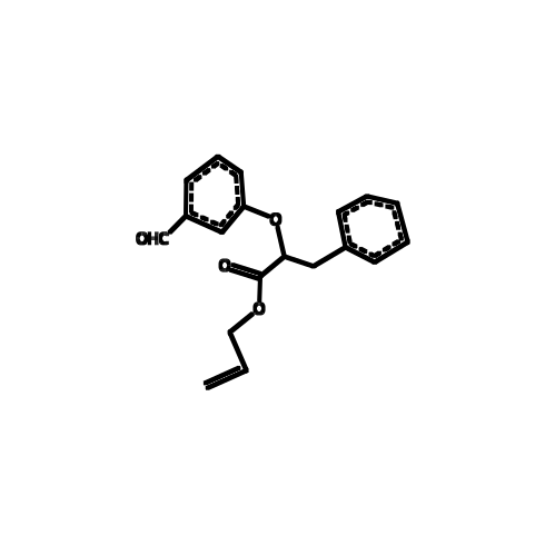 C=CCOC(=O)C(Cc1ccccc1)Oc1cccc(C=O)c1